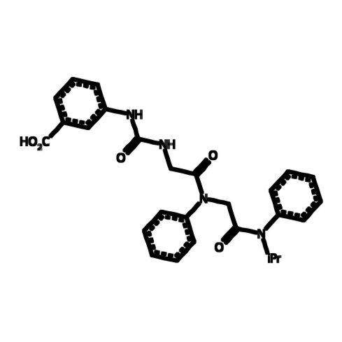 CC(C)N(C(=O)CN(C(=O)CNC(=O)Nc1cccc(C(=O)O)c1)c1ccccc1)c1ccccc1